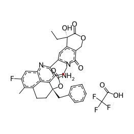 CC[C@@]1(O)C(=O)OCc2c1cc1n(c2=O)Cc2c-1nc1cc(F)c(C)c3c1c2[C@](Cc1ccccc1)(OC(N)=O)CC3.O=C(O)C(F)(F)F